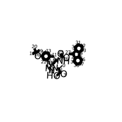 C[C@@H](C(=O)O)n1nnnc1[C@H](Cc1ccc(OC(C)(C)C)cc1)NC(=O)OCC1c2ccccc2-c2ccccc21